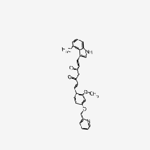 COc1cc(OCc2ccccn2)ccc1/C=C/C(=O)CC(=O)/C=C/c1c[nH]c2cccc(C)c12